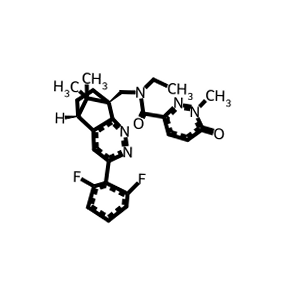 CCN(C[C@@]12CC[C@@H](c3cc(-c4c(F)cccc4F)nnc31)C2(C)C)C(=O)c1ccc(=O)n(C)n1